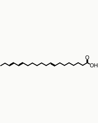 CCC=CC=CCCCCCC=CCCCCCCC(=O)O